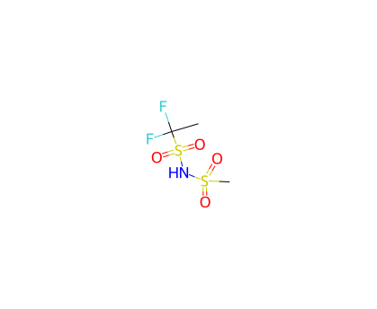 CC(F)(F)S(=O)(=O)NS(C)(=O)=O